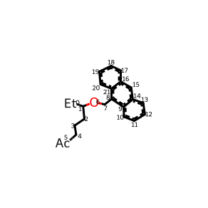 CCC(CCCC(C)=O)OCc1c2ccccc2cc2ccccc12